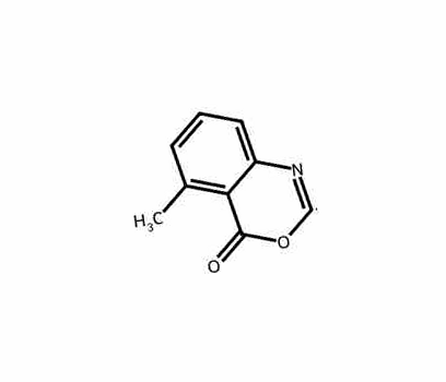 Cc1cccc2n[c]oc(=O)c12